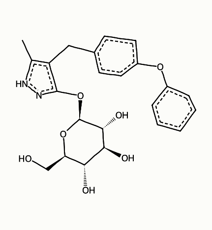 Cc1[nH]nc(O[C@@H]2O[C@H](CO)[C@@H](O)[C@H](O)[C@H]2O)c1Cc1ccc(Oc2ccccc2)cc1